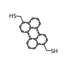 SCc1ccc2c3cccc4c(CS)ccc(c5cccc1c52)c43